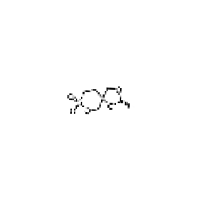 O=C1OCC2(CCS(=O)(=O)OC2)O1